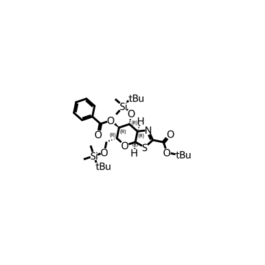 CC(C)(C)OC(=O)C1=N[C@@H]2[C@@H](O[Si](C)(C)C(C)(C)C)[C@H](OC(=O)c3ccccc3)[C@@H](CO[Si](C)(C)C(C)(C)C)O[C@@H]2S1